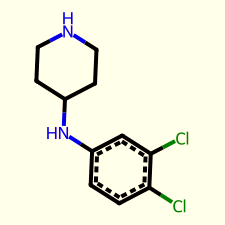 Clc1ccc(NC2CCNCC2)cc1Cl